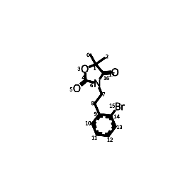 CC1(C)OC(=O)N(CCc2ccccc2Br)C1=O